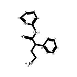 NCCC(C(=O)Nc1ccccn1)c1ccccc1